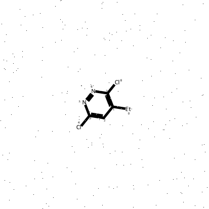 C[CH]c1cc(Cl)nnc1Cl